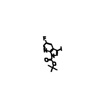 CC(C)(C)OC(=O)n1cc(I)c2cc(F)cnc21